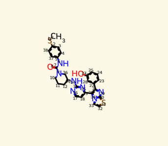 CSc1ccc(NC(=O)N2CCC[C@@H](Nc3nccc(-c4c(-c5cccc(O)c5)nc5sccn45)n3)C2)cc1